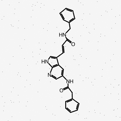 O=C(C=Cc1c[nH]c2ncc(NC(=O)Cc3ccccc3)cc12)NCc1ccccc1